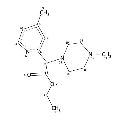 CCOC(=O)C(c1cc(C)ccn1)N1CCN(C)CC1